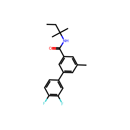 CCC(C)(C)NC(=O)c1cc(C)cc(-c2ccc(F)c(F)c2)c1